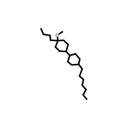 CCCCCCCC1CCC(C2CCC(CCCC)(OC)CC2)CC1